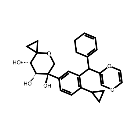 O[C@@H]1[C@H](O)C2(CC2)OC[C@]1(O)c1ccc(C2CC2)c(C(C2=CC=CCC2)C2=COC=CO2)c1